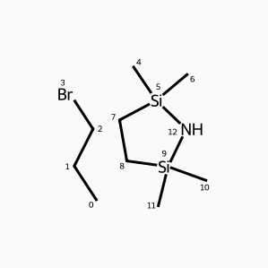 CCCBr.C[Si]1(C)CC[Si](C)(C)N1